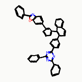 c1ccc(-c2nc(-c3ccccc3)nc(-c3ccc(-c4ccc5ccccc5c4-c4cccc(-c5ccc6nc(-c7ccccc7)oc6c5)c4)cc3)n2)cc1